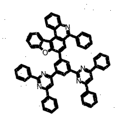 c1ccc(-c2cc(-c3cc(-c4nc(-c5ccccc5)cc(-c5ccccc5)n4)cc(-c4cc5c(-c6ccccc6)nc6ccccc6c5c5c4oc4ccccc45)c3)nc(-c3ccccc3)n2)cc1